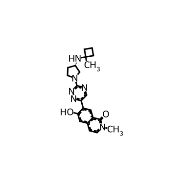 Cn1ccc2cc(O)c(-c3cnc(N4CC[C@H](NC5(C)CCC5)C4)nn3)cc2c1=O